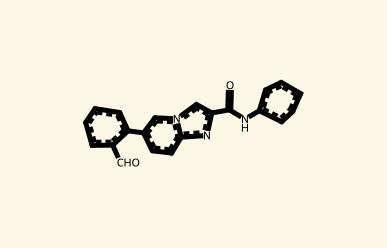 O=Cc1ccccc1-c1ccc2nc(C(=O)Nc3ccccc3)cn2c1